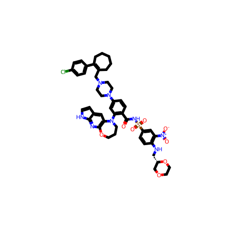 O=C(NS(=O)(=O)c1ccc(NC[C@H]2COCCO2)c([N+](=O)[O-])c1)c1ccc(N2CCN(CC3=C(c4ccc(Cl)cc4)CCCCC3)CC2)cc1N1CCCOc2nc3[nH]ccc3cc21